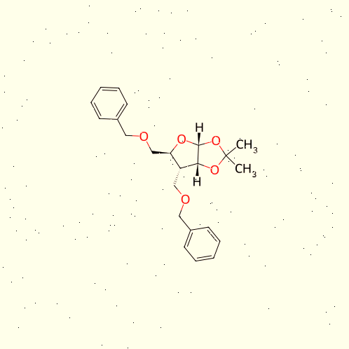 CC1(C)O[C@H]2O[C@H](COCc3ccccc3)[C@@H](COCc3ccccc3)[C@H]2O1